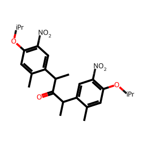 Cc1cc(OC(C)C)c([N+](=O)[O-])cc1C(C)C(=O)C(C)c1cc([N+](=O)[O-])c(OC(C)C)cc1C